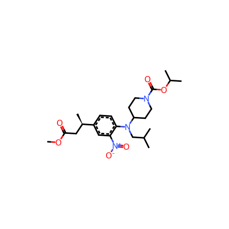 COC(=O)C[C@@H](C)c1ccc(N(CC(C)C)C2CCN(C(=O)OC(C)C)CC2)c([N+](=O)[O-])c1